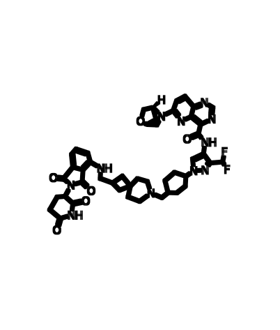 O=C1CCC(N2C(=O)c3cccc(NCC4CC5(CCN(CC6CCC(n7cc(NC(=O)c8ncnc9ccc(N%10CC%11C[C@@H]%10CO%11)nc89)c(C(F)F)n7)CC6)CC5)C4)c3C2=O)C(=O)N1